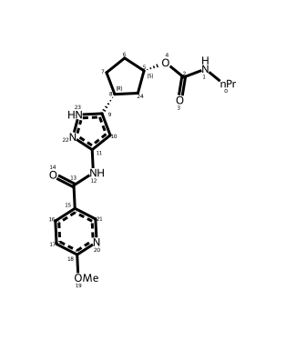 CCCNC(=O)O[C@H]1CC[C@@H](c2cc(NC(=O)c3ccc(OC)nc3)n[nH]2)C1